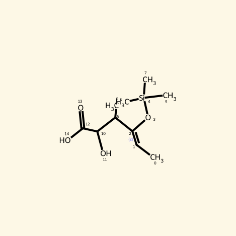 C/C=C(\O[Si](C)(C)C)C(C)C(O)C(=O)O